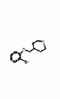 Brc1ccccc1OCC1CCSCC1